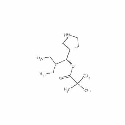 CCC(CC)[C@H](OC(=O)C(C)(C)C)[C@H]1CCNC1